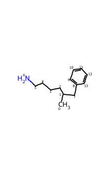 CC(CCCCN)Cc1ccccc1